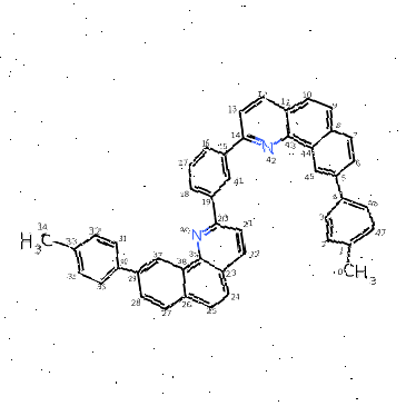 Cc1ccc(-c2ccc3ccc4ccc(-c5cccc(-c6ccc7ccc8ccc(-c9ccc(C)cc9)cc8c7n6)c5)nc4c3c2)cc1